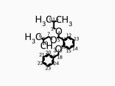 CC(C)COC(OCC(C)C)c1ccccc1OCc1ccccc1